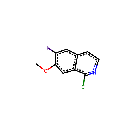 COc1cc2c(Cl)nccc2cc1I